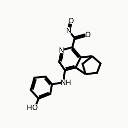 O=NC(=O)c1ncc(Nc2cccc(O)c2)c2c1C1CCC2C1